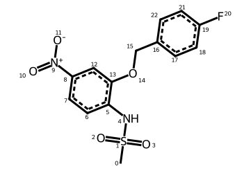 CS(=O)(=O)Nc1ccc([N+](=O)[O-])cc1OCc1ccc(F)cc1